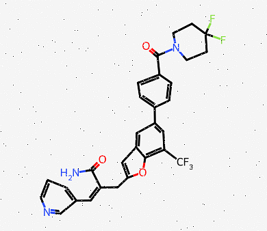 NC(=O)C(=Cc1cccnc1)Cc1cc2cc(-c3ccc(C(=O)N4CCC(F)(F)CC4)cc3)cc(C(F)(F)F)c2o1